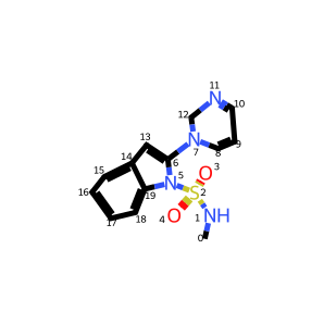 CNS(=O)(=O)n1c(N2C=CC=NC2)cc2ccccc21